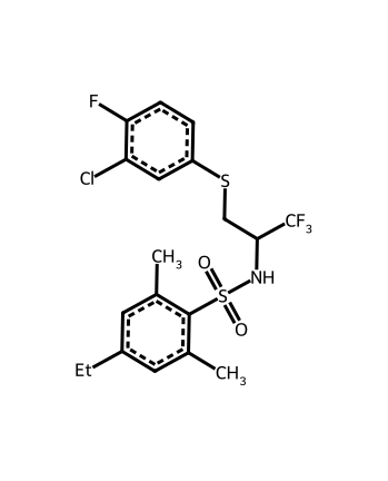 CCc1cc(C)c(S(=O)(=O)NC(CSc2ccc(F)c(Cl)c2)C(F)(F)F)c(C)c1